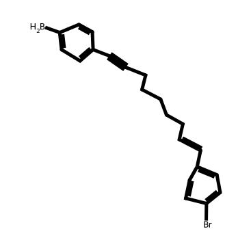 Bc1ccc(C#CCCCCCC=Cc2ccc(Br)cc2)cc1